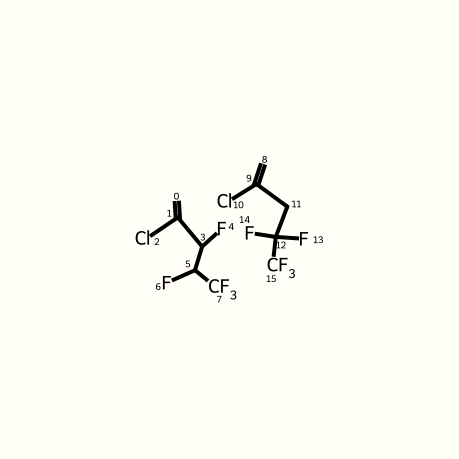 C=C(Cl)C(F)C(F)C(F)(F)F.C=C(Cl)CC(F)(F)C(F)(F)F